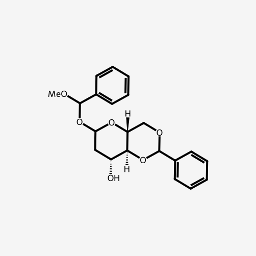 COC(OC1C[C@@H](O)[C@@H]2OC(c3ccccc3)OC[C@H]2O1)c1ccccc1